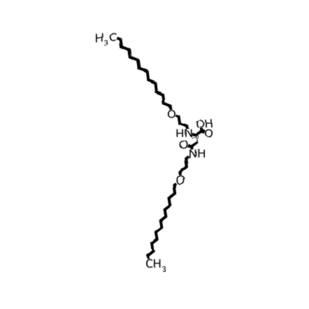 CCCCCCCCCCCCCCOCCCNC(=O)C[C@H](NCCCOCCCCCCCCCCCCCC)C(=O)O